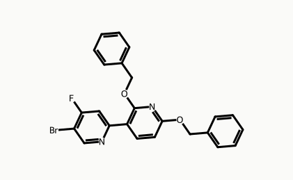 Fc1cc(-c2ccc(OCc3ccccc3)nc2OCc2ccccc2)ncc1Br